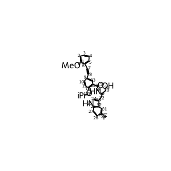 COc1ccccc1C#Cc1ccc(OC(C)C)c(C(=O)NC(CO)Cc2c[nH]c3ccc(F)cc23)c1